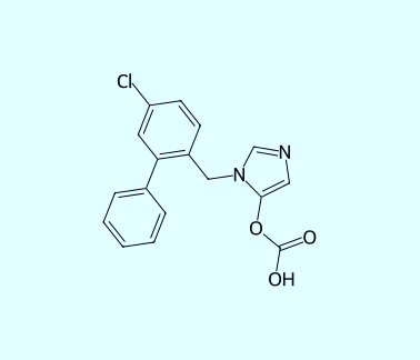 O=C(O)Oc1cncn1Cc1ccc(Cl)cc1-c1ccccc1